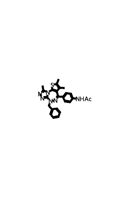 CC(=O)Nc1ccc(C2=NN(Cc3ccccc3)c3nnc(C)n3-c3sc(C)c(C)c32)cc1